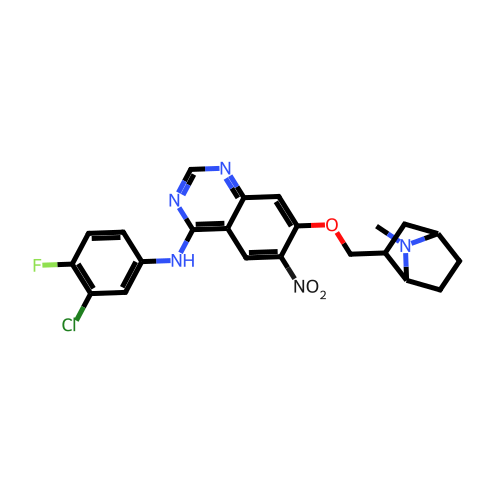 CN1C2CCC1C(COc1cc3ncnc(Nc4ccc(F)c(Cl)c4)c3cc1[N+](=O)[O-])C2